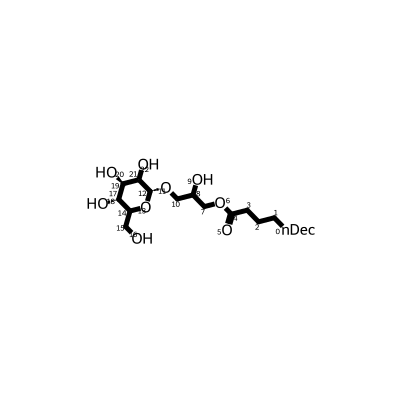 CCCCCCCCCCCCCC(=O)OCC(O)CO[C@@H]1OC(CO)[C@H](O)[C@@H](O)C1O